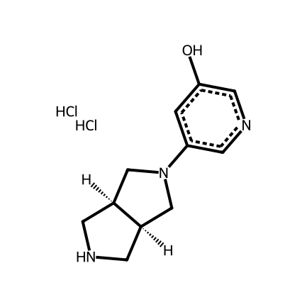 Cl.Cl.Oc1cncc(N2C[C@H]3CNC[C@H]3C2)c1